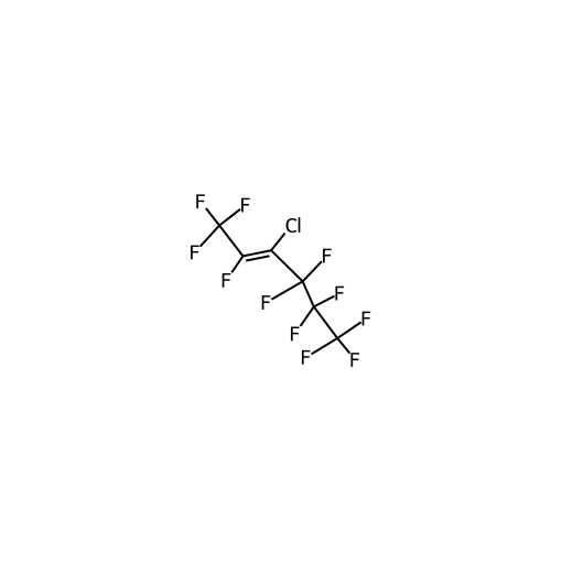 F/C(=C(/Cl)C(F)(F)C(F)(F)C(F)(F)F)C(F)(F)F